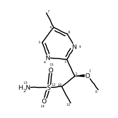 CO[C@H](c1ncc(C)cn1)C(C)S(N)(=O)=O